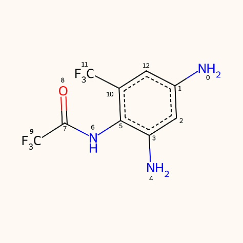 Nc1cc(N)c(NC(=O)C(F)(F)F)c(C(F)(F)F)c1